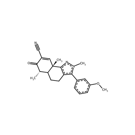 COc1cccc(-c2c3c(nn2C)[C@@]2(C)C=C(C#N)C(=O)[C@@H](C)C2CC3)c1